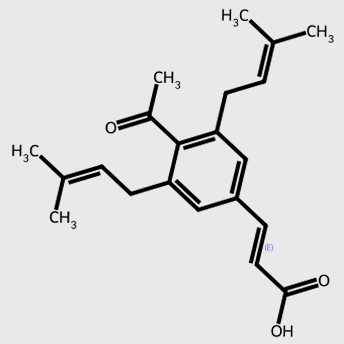 CC(=O)c1c(CC=C(C)C)cc(/C=C/C(=O)O)cc1CC=C(C)C